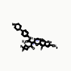 C=C(Nc1ccc(N2CCNCC2)cc1)/C(C(=O)N1CC(F)(F)C1)=C(\N=C/N)Oc1ccc2[nH]c(C)cc2c1F